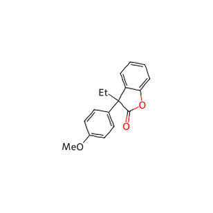 CCC1(c2ccc(OC)cc2)C(=O)Oc2ccccc21